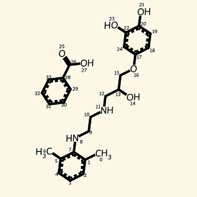 Cc1cccc(C)c1NCCNCC(O)COc1ccc(O)c(O)c1.O=C(O)c1ccccc1